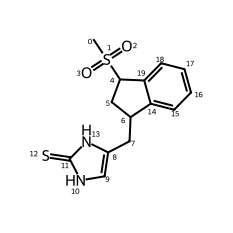 CS(=O)(=O)C1CC(Cc2c[nH]c(=S)[nH]2)c2ccccc21